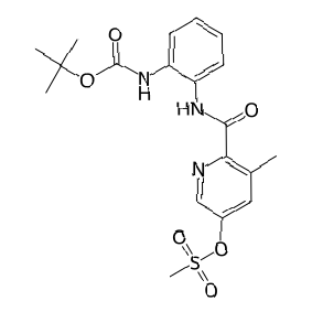 Cc1cc(OS(C)(=O)=O)cnc1C(=O)Nc1ccccc1NC(=O)OC(C)(C)C